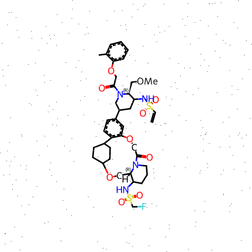 C=CS(=O)(=O)NC1CC(c2ccc3c(c2)OCC(=O)N2CCCC(NS(=O)(=O)CF)[C@@H]2COC2CCC3CC2)CN(C(=O)COc2ccccc2C)[C@H]1COC